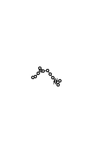 c1cc(-c2ccc(-c3ccc(-c4cnc5c6ccccc6c6ccccc6c5n4)cc3)cc2)cc(-c2ccc3c(c2)c2ccccc2n3-c2ccc(-c3ccc4ccccc4c3)cc2)c1